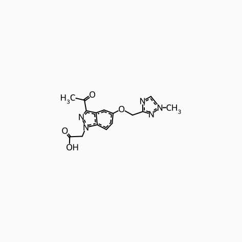 CC(=O)c1nn(CC(=O)O)c2ccc(OCc3ncn(C)n3)cc12